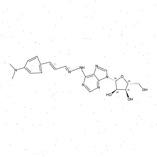 CN(C)c1ccc(/C=C/C=N/Nc2ncnc3c2ncn3[C@@H]2O[C@H](CO)[C@@H](O)[C@H]2O)cc1